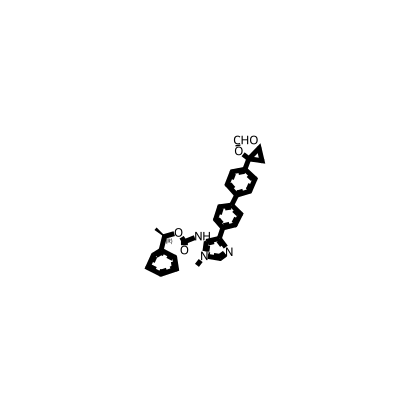 C[C@@H](OC(=O)Nc1c(-c2ccc(-c3ccc(C4(OC=O)CC4)cc3)cc2)ncn1C)c1ccccc1